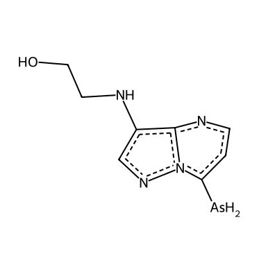 OCCNc1cnn2c([AsH2])ccnc12